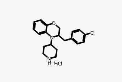 Cl.Clc1ccc(CC2COc3ccccc3N2C2CCNCC2)cc1